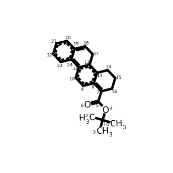 CC(C)(C)OC(=O)C1=c2ccc3c(c2CCC1)CC=c1ccccc1=3